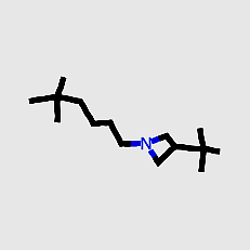 CC(C)(C)CCCCN1CC(C(C)(C)C)C1